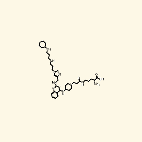 N[C@@H](CCCNC(=O)CCN1CCC(Nc2nc(NCc3cn(CCCNCCCNC4CCCCC4)nn3)nc3ccccc23)CC1)C(=O)O